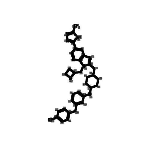 FC(F)(F)c1nnc(-c2cnc3c(c2)nc(CN2CCC(Oc4cccc(Cc5ccc(Cl)cc5)n4)CC2)n3CC2CCO2)[nH]1